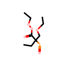 CCOCC(CC)(P=O)C(=O)OOCC